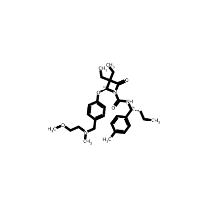 CCC[C@@H](NC(=O)N1C(=O)C(CC)(CC)[C@@H]1Oc1ccc(CN(C)CCOC)cc1)c1ccc(C)cc1